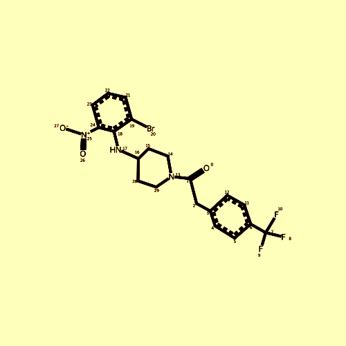 O=C(Cc1ccc(C(F)(F)F)cc1)N1CCC(Nc2c(Br)cccc2[N+](=O)[O-])CC1